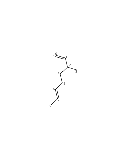 [CH]=CC(C)CCC=C[CH2]